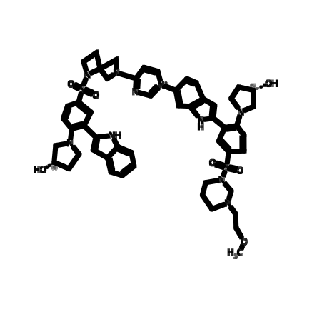 COCCN1CCCN(S(=O)(=O)c2ccc(N3CC[C@H](O)C3)c(-c3cc4ccc(-[n+]5ccc(N6CC7(CCN7S(=O)(=O)c7ccc(N8CC[C@H](O)C8)c(-c8cc9ccccc9[nH]8)c7)C6)nc5)cc4[nH]3)c2)C1